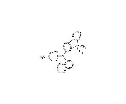 Cc1ccc(N(c2ccc3c(c2)C(C)(C)c2ccccc2-3)c2cccc3ccccc23)cc1